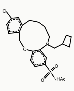 CC(=O)NS(=O)(=O)c1ccc2c(c1)N(CC1CCC1)CCCCc1cc(Cl)ccc1CO2